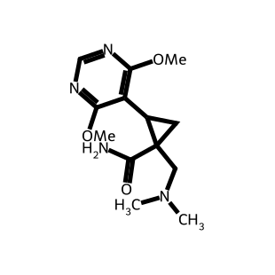 COc1ncnc(OC)c1C1CC1(CN(C)C)C(N)=O